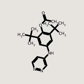 CC(=O)Oc1c(C(C)(C)C)cc(Nc2ccnnc2)cc1C(C)(C)C